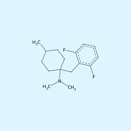 CC1CCC(Cc2c(F)cccc2F)(N(C)C)CC1